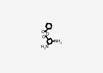 Nc1cc(N)cc(C(=O)OC(=O)c2ccccc2)c1